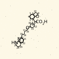 O=C(O)C(c1cccc2c1OCC2)N1CC[C@@H](OCCCCc2ccc3c(n2)NCCC3)C1